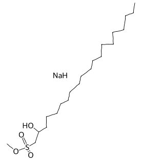 CCCCCCCCCCCCCCCCCCC(O)CS(=O)(=O)OC.[NaH]